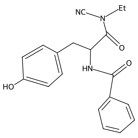 CCN(C#N)C(=O)C(Cc1ccc(O)cc1)NC(=O)c1ccccc1